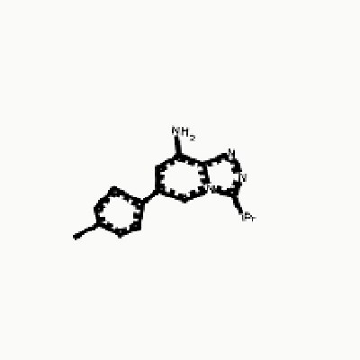 Cc1ccc(-c2cc(N)c3nnc(C(C)C)n3c2)cc1